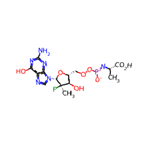 C[C@H](/N=[P+](\[O-])OOC[C@H]1O[C@@H](n2cnc3c(O)nc(N)nc32)[C@](C)(F)[C@@H]1O)C(=O)O